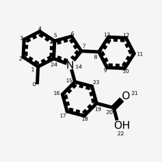 Cc1cccc2cc(-c3ccccc3)n(-c3cccc(C(=O)O)c3)c12